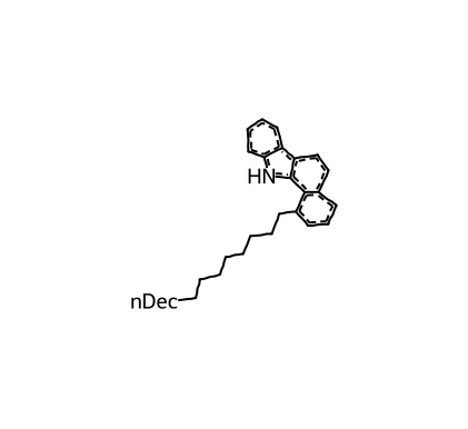 CCCCCCCCCCCCCCCCCCc1cccc2ccc3c4ccccc4[nH]c3c12